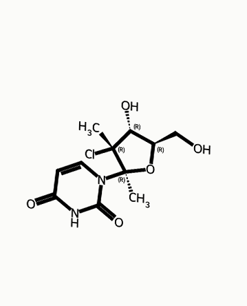 C[C@@]1(n2ccc(=O)[nH]c2=O)O[C@H](CO)[C@@H](O)[C@@]1(C)Cl